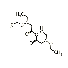 CCON(CC)CC(=O)OC(=O)CN(CC)OCC